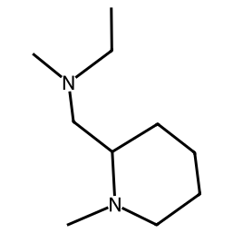 CCN(C)CC1CCCCN1C